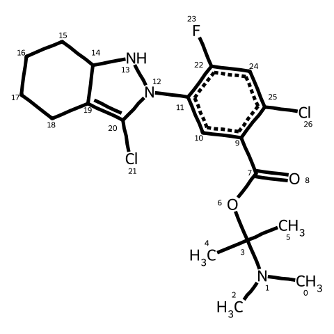 CN(C)C(C)(C)OC(=O)c1cc(N2NC3CCCCC3=C2Cl)c(F)cc1Cl